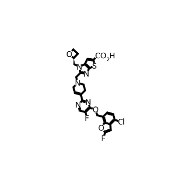 O=C(O)c1cc2c(nc(CN3CC=C(c4ncc(F)c(OCc5ccc(Cl)c6cc(F)oc56)n4)CC3)n2C[C@@H]2CCO2)s1